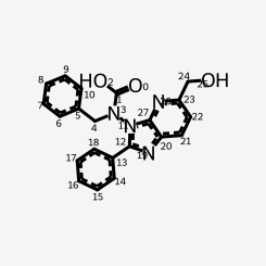 O=C(O)N(Cc1ccccc1)n1c(-c2ccccc2)nc2ccc(CO)nc21